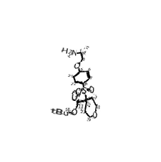 C[C@@H](N)COc1ccc(S(=O)(=O)C2(C(=O)OC(C)(C)C)CCOCC2)cc1